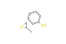 CC1CS1.Sc1ccccc1